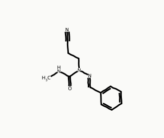 CNC(=O)N(CCC#N)N=Cc1ccccc1